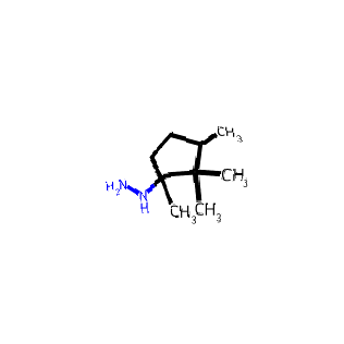 CC1CCC(C)(NN)C1(C)C